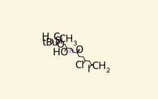 C=C(I)CC(Cl)CCC(=O)/C=C/C(O)CO[Si](C)(C)C(C)(C)C